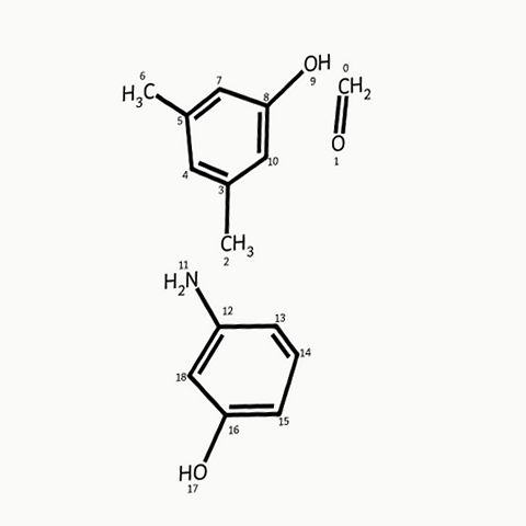 C=O.Cc1cc(C)cc(O)c1.Nc1cccc(O)c1